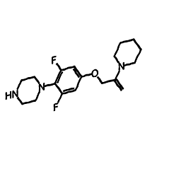 C=C(COc1cc(F)c(N2CCNCC2)c(F)c1)N1CCCCC1